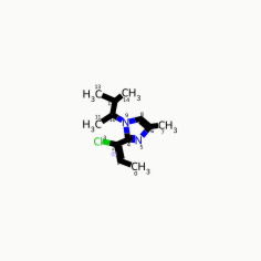 C/C=C(/Cl)c1nc(C)cn1C(C)C(C)C